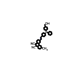 Cc1ccc2c(C#N)c(C#N)c3ccc(/C=C/c4ccc(N(c5ccccc5)c5ccc(CO)cc5)cc4)cc3c2c1